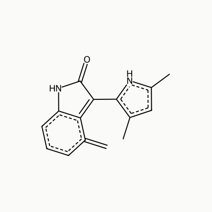 C=c1cccc2c1=C(c1[nH]c(C)cc1C)C(=O)N2